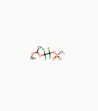 CCCCOC(C)OC(F)(F)C(F)(F)OS(=O)(=O)C(F)(F)F